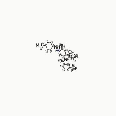 CC1CCC(N/C=C2/C=C(NC(=O)c3cccc(C(F)(F)F)n3)C(C(C)(C)O)=CC2=N)CC1